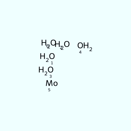 O.O.O.O.O.[Mo]